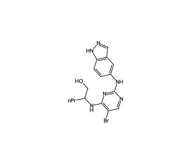 CCCC(CO)Nc1nc(Nc2ccc3[nH]ncc3c2)ncc1Br